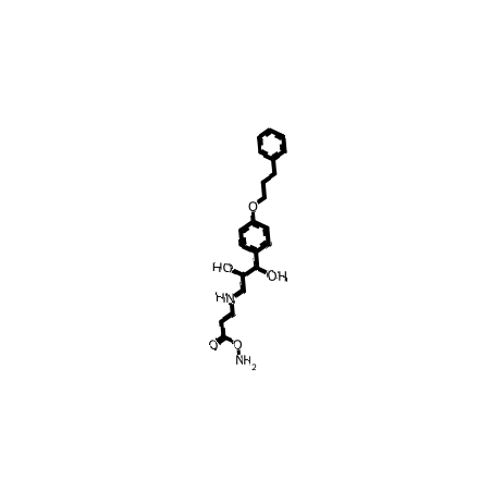 NOC(=O)CCNCC(O)C(O)c1ccc(OCCCc2ccccc2)cc1